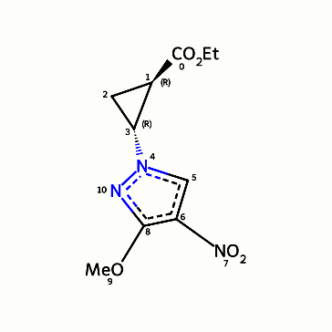 CCOC(=O)[C@@H]1C[C@H]1n1cc([N+](=O)[O-])c(OC)n1